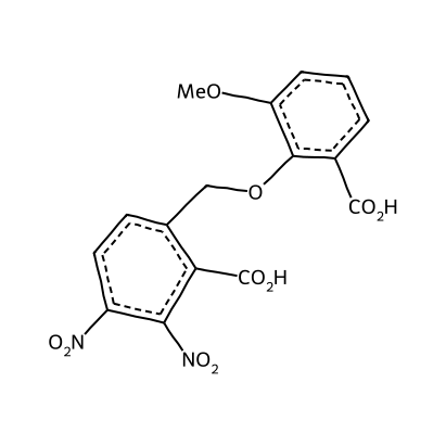 COc1cccc(C(=O)O)c1OCc1ccc([N+](=O)[O-])c([N+](=O)[O-])c1C(=O)O